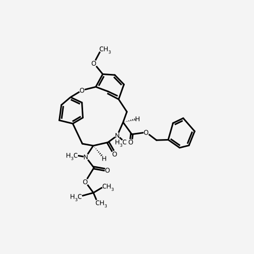 COc1ccc2cc1Oc1ccc(cc1)C[C@H](N(C)C(=O)OC(C)(C)C)C(=O)N(C)[C@H](C(=O)OCc1ccccc1)C2